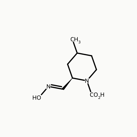 CC1CCN(C(=O)O)[C@@H](C=NO)C1